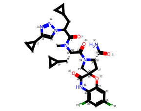 CN(C(=O)C(CC1CC1)n1cc(C2CC2)nn1)[C@@H](CC1CC1)C(=O)N1C[C@@]2(C[C@H]1C(N)=O)Oc1cc(F)cc(F)c1NC2=O